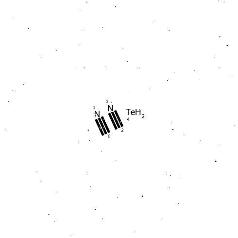 C#N.C#N.[TeH2]